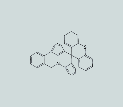 C1=C2Sc3ccccc3C3(C2=CCC1)c1ccccc1N1Cc2ccccc2-c2cccc3c21